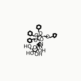 OC[C@H]1O[C@H](n2cc([C@H]3O[C@H](CCOCc4ccccc4)[C@@H](OCc4ccccc4)[C@H](OCc4ccccc4)[C@@H]3OCc3ccccc3)nn2)[C@@H](O)[C@@H](O)[C@@H]1O